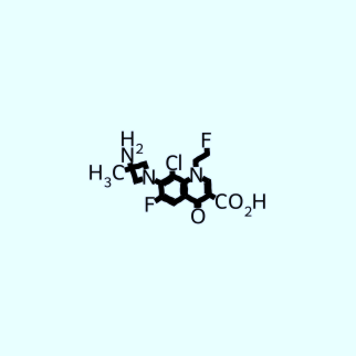 CC1(N)CN(c2c(F)cc3c(=O)c(C(=O)O)cn(CCF)c3c2Cl)C1